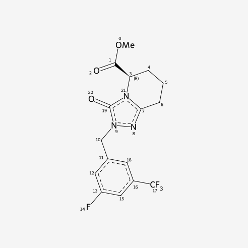 COC(=O)[C@H]1CCCc2nn(Cc3cc(F)cc(C(F)(F)F)c3)c(=O)n21